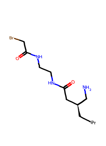 CC(C)C[C@H](CN)CC(=O)NCCNC(=O)CBr